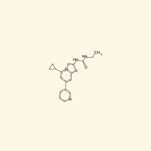 CCNC(=O)Nc1cn2c(C3CC3)cc(-c3cccnc3)cc2n1